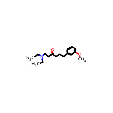 CCN(CC)CCC(=O)CCCc1cccc(OC)c1